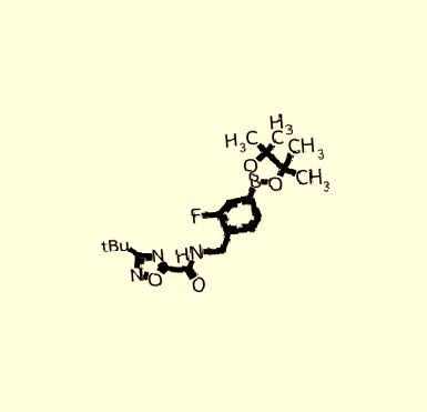 CC(C)(C)c1noc(C(=O)NCc2ccc(B3OC(C)(C)C(C)(C)O3)cc2F)n1